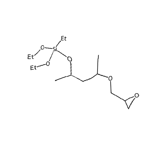 CCO[Si](CC)(OCC)OC(C)CC(C)OCC1CO1